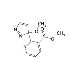 COC(=O)c1cccnc1C1(OC)C=CN=N1